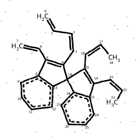 C=C/C=C\C1=C(C=C)c2ccccc2C12C(/C=C\C)=C(/C=C\C)c1ccccc12